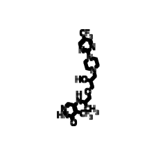 CC(COCC(O)CN1CCN(c2ncc(C(F)(F)F)cn2)CC1)Nc1cn[nH]c(=O)c1C(F)(F)F